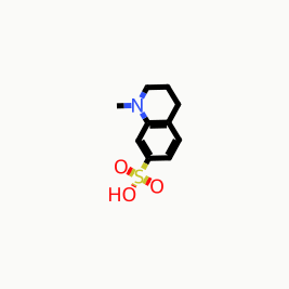 CN1CCCc2ccc(S(=O)(=O)O)cc21